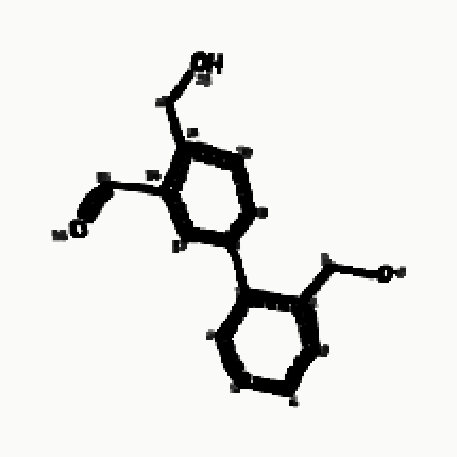 [O]Cc1ccccc1-c1ccc(CO)c(C=O)c1